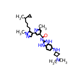 Cc1cc(C(=O)/N=c2/[nH]c3ccc(N[C@H]4C[C@@H](N(C)C)C4)cc3[nH]2)cc(-c2cnn(C)c2CCCCC(C)C2CC2)n1